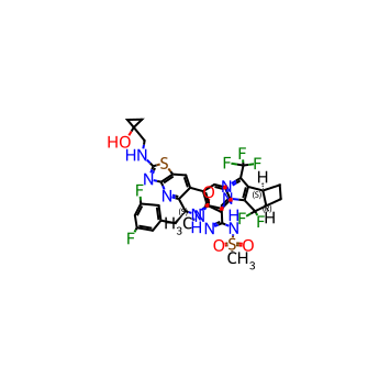 Cn1nc(NS(C)(=O)=O)c2cccc(-c3cc4sc(NCC5(O)CC5)nc4nc3[C@H](Cc3cc(F)cc(F)c3)NC(=O)Cn3nc(C(F)(F)F)c4c3C(F)(F)[C@@H]3CC[C@H]43)c21